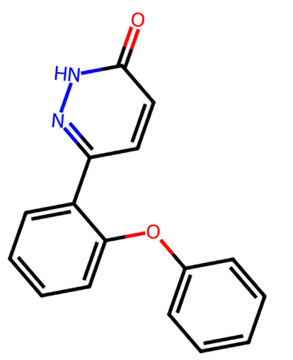 O=c1ccc(-c2ccccc2Oc2ccccc2)n[nH]1